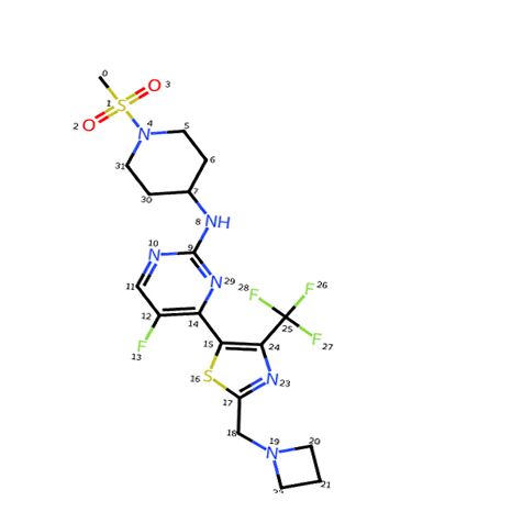 CS(=O)(=O)N1CCC(Nc2ncc(F)c(-c3sc(CN4CCC4)nc3C(F)(F)F)n2)CC1